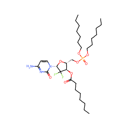 CCCCCCCOP(=O)(OCCCCCCC)OC[C@H]1O[C@@H](n2ccc(N)nc2=O)C(F)(F)[C@@H]1OC(=O)CCCCCCC